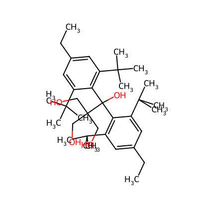 CCc1cc(C(C)(C)C)c(C(O)(c2c(C(C)(C)C)cc(CC)cc2C(C)(C)C)C(CO)(CO)CO)c(C(C)(C)C)c1